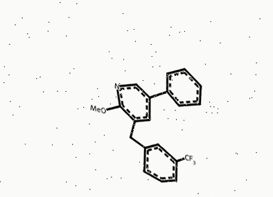 COc1ncc(-c2ccccc2)cc1Cc1cccc(C(F)(F)F)c1